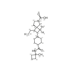 [2H]C1([2H])C(N2CCC(C(=O)NC3(C)CCC3)CC2)C(CC)[C@@]12CCN(C(=O)O)C2